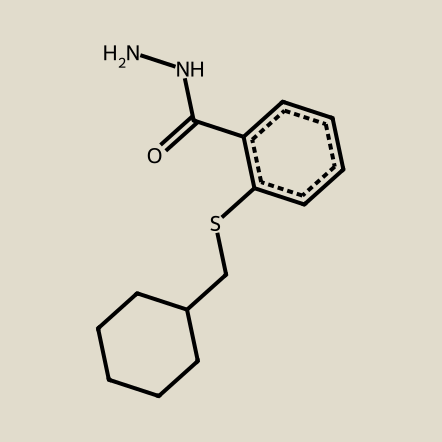 NNC(=O)c1ccccc1SCC1CCCCC1